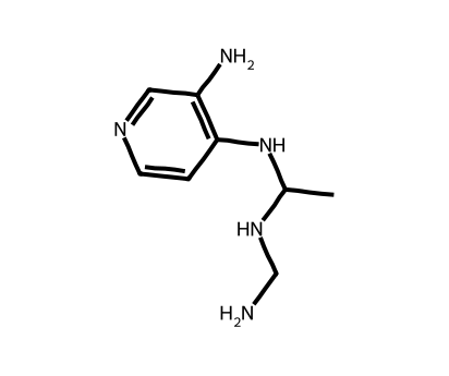 CC(NCN)Nc1ccncc1N